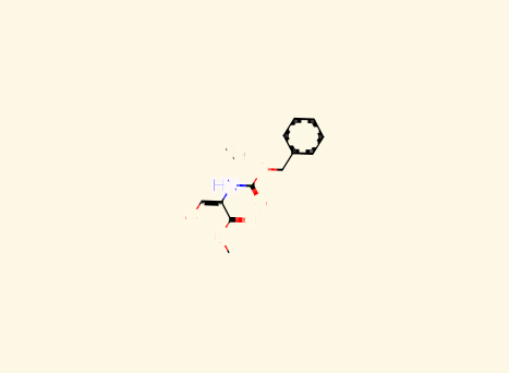 COC(=O)/C(=C\[O-])NC(=O)OCc1ccccc1.[Na+]